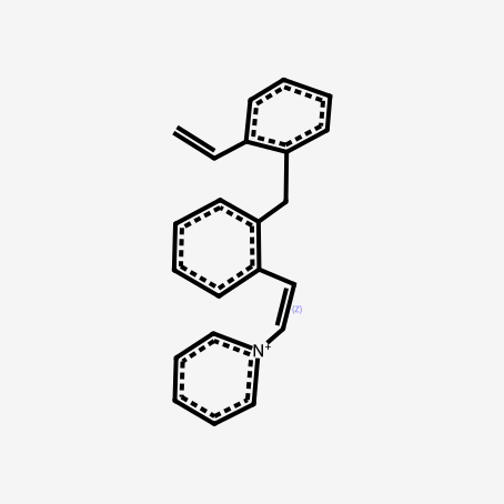 C=Cc1ccccc1Cc1ccccc1/C=C\[n+]1ccccc1